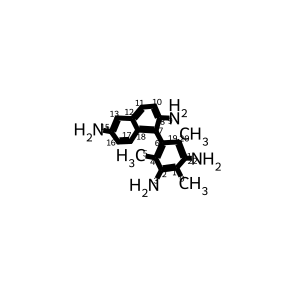 Cc1c(N)c(C)c(-c2c(N)ccc3cc(N)ccc23)c(C)c1N